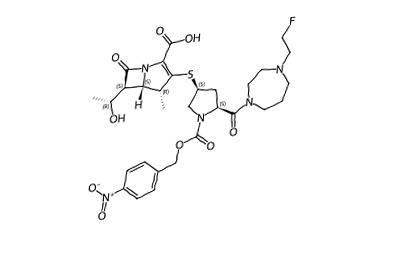 C[C@@H](O)[C@H]1C(=O)N2C(C(=O)O)=C(S[C@H]3C[C@@H](C(=O)N4CCCN(CCF)CC4)N(C(=O)OCc4ccc([N+](=O)[O-])cc4)C3)[C@H](C)[C@H]12